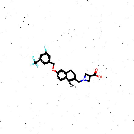 CC1=C(CN2CC(C(=O)O)C2)CCc2cc(OCc3cc(F)cc(C(F)(F)F)c3)ccc21